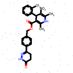 CC1=C(C(=O)OCc2ccc(C3=NNC(=O)CC3)cc2)C(c2ccccc2C(F)(F)F)C([N+](=O)[O-])=C(C)N1